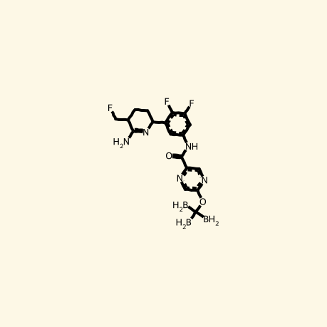 BC(B)(B)Oc1cnc(C(=O)Nc2cc(F)c(F)c(C3CCC(CF)C(N)=N3)c2)cn1